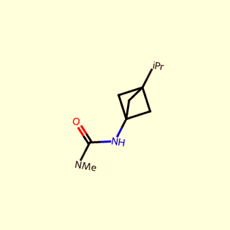 CNC(=O)NC12CC(C(C)C)(C1)C2